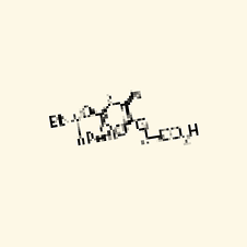 C=C(CC(=O)O[C@@H](CC)CCCCC)C(=O)OCC(=O)O